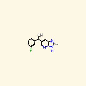 Cc1nc2cc(C(C#N)c3cccc(F)c3)cnc2[nH]1